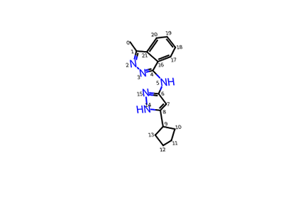 Cc1nnc(Nc2cc(C3CCCC3)[nH]n2)c2ccccc12